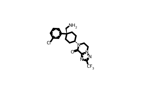 NC[C@]1(c2cccc(Cl)c2)CC[C@@H](N2CCn3nc(C(F)(F)F)nc3C2=O)CC1